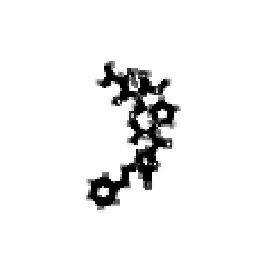 COC(=O)N(C(=O)[C@@H](N)C(C)C)C(=O)[C@@H]1CCCN1[C@H](C(=O)c1nn(CCc2ccccc2)c(=O)o1)C(C)C